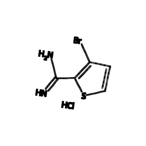 Cl.N=C(N)c1sccc1Br